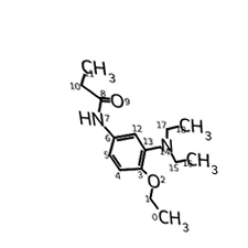 CCOc1ccc(NC(=O)CC)cc1N(CC)CC